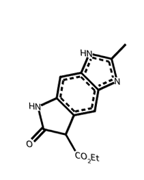 CCOC(=O)C1C(=O)Nc2cc3[nH]c(C)nc3cc21